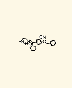 CN1CCN(CC(c2ccc(OCc3ccccc3)c(C#N)c2)C2(O)CCCCC2)CC1